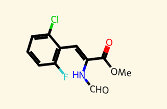 COC(=O)C(=Cc1c(F)cccc1Cl)NC=O